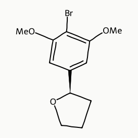 COc1cc([C@H]2CCCO2)cc(OC)c1Br